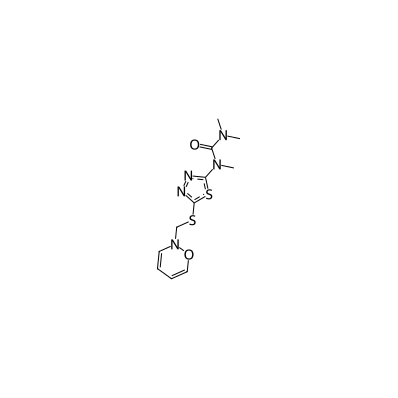 CN(C)C(=O)N(C)c1nnc(SCN2C=CC=CO2)s1